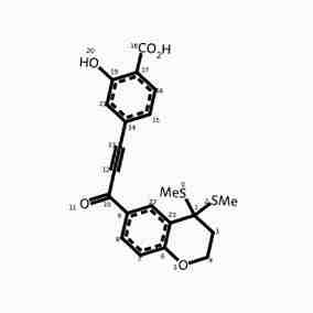 CSC1(SC)CCOc2ccc(C(=O)C#Cc3ccc(C(=O)O)c(O)c3)cc21